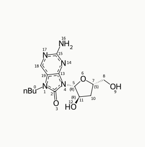 CCCCn1c(=O)n([C@@H]2O[C@H](CO)C[C@H]2O)c2nc(N)ncc21